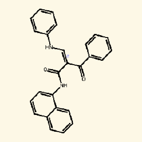 O=C(Nc1cccc2ccccc12)/C(=C\Nc1ccccc1)C(=O)c1ccccc1